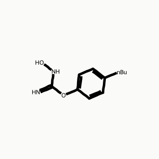 CCCCc1ccc(OC(=N)NO)cc1